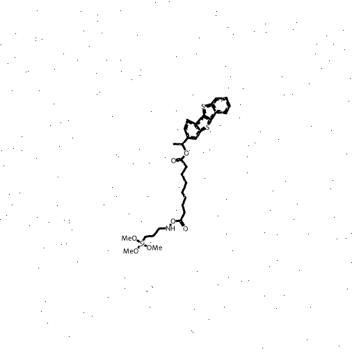 CO[Si](CCCNOC(=O)CCCCCCCC(=O)OC(C)c1ccc2c(c1)sc1c3ccccc3sc21)(OC)OC